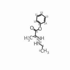 CCNN[C@@H](C)C(=O)Oc1ccccc1